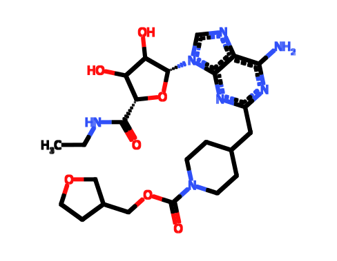 CCNC(=O)[C@H]1O[C@@H](n2cnc3c(N)nc(CC4CCN(C(=O)OCC5CCOC5)CC4)nc32)C(O)C1O